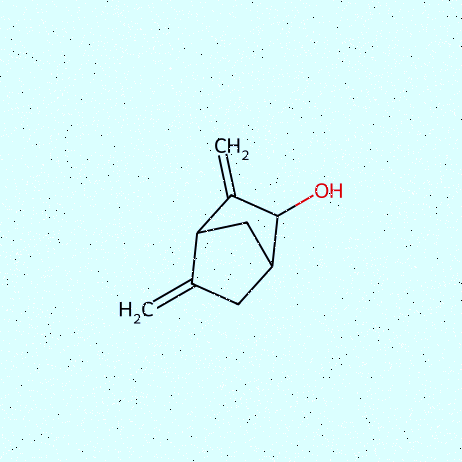 C=C1CC2CC1C(=C)C2O